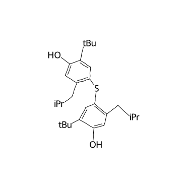 CC(C)Cc1cc(O)c(C(C)(C)C)cc1Sc1cc(C(C)(C)C)c(O)cc1CC(C)C